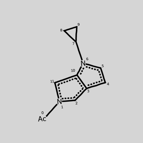 CC(=O)n1cc2ccn(C3CC3)c2c1